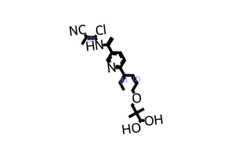 C=C(N/C(Cl)=C(\C)C#N)c1ccc(C(/C=C\COCC(C)(C)C(O)O)=C/C)nc1